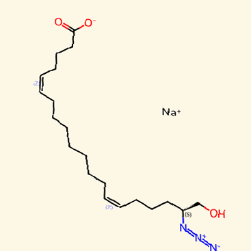 [N-]=[N+]=N[C@H](CO)CCC/C=C\CCCCCCC/C=C\CCCC(=O)[O-].[Na+]